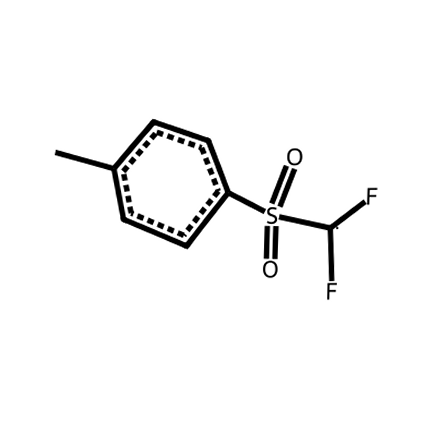 Cc1ccc(S(=O)(=O)[C](F)F)cc1